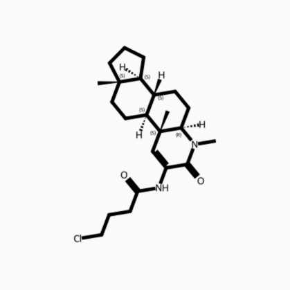 CN1C(=O)C(NC(=O)CCCCl)=C[C@]2(C)[C@H]3CC[C@]4(C)CCC[C@H]4[C@@H]3CC[C@@H]12